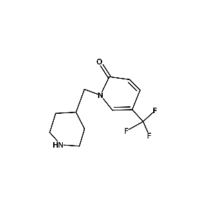 O=c1ccc(C(F)(F)F)cn1CC1CCNCC1